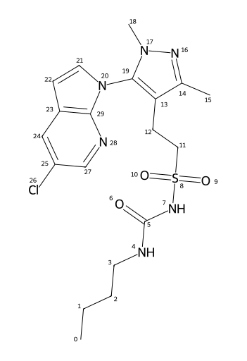 CCCCNC(=O)NS(=O)(=O)CCc1c(C)nn(C)c1-n1ccc2cc(Cl)cnc21